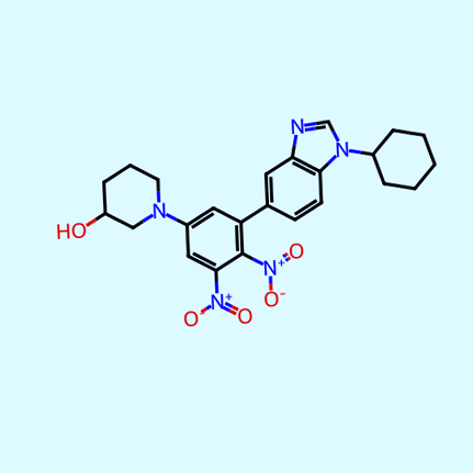 O=[N+]([O-])c1cc(N2CCCC(O)C2)cc(-c2ccc3c(c2)ncn3C2CCCCC2)c1[N+](=O)[O-]